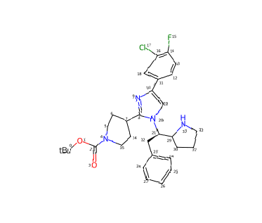 CC(C)(C)OC(=O)N1CCC(c2nc(-c3ccc(F)c(Cl)c3)cn2[C@H](Cc2ccccc2)C2CCCN2)CC1